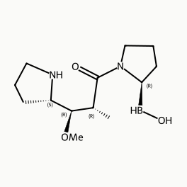 CO[C@@H]([C@@H]1CCCN1)[C@@H](C)C(=O)N1CCC[C@H]1BO